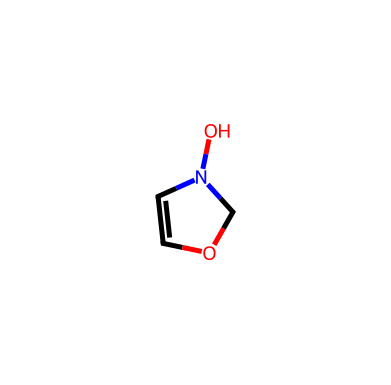 ON1C=COC1